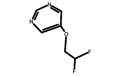 FC(F)COc1cn[c]nc1